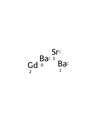 [Ba].[Ba].[Gd].[Sr]